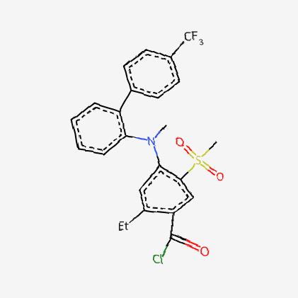 CCc1cc(N(C)c2ccccc2-c2ccc(C(F)(F)F)cc2)c(S(C)(=O)=O)cc1C(=O)Cl